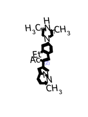 CCc1cc(N2C[C@@H](C)N[C@@H](C)C2)ccc1/C=C(\C(C)=O)c1cc2ccc(C)nn2c1